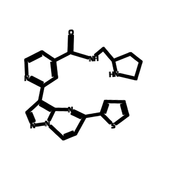 O=C(NCC1CCCN1)c1ccnc(-c2cnn3ccc(-c4cccs4)nc23)c1